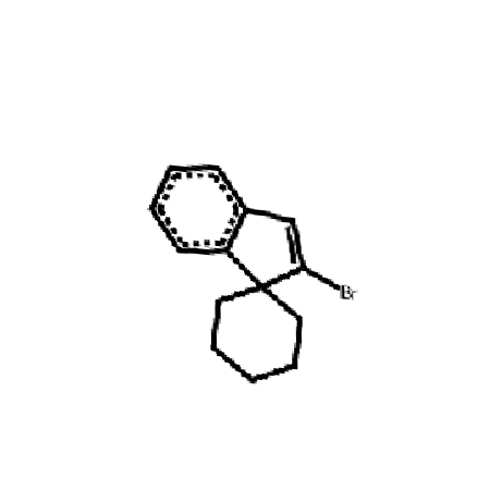 BrC1=Cc2ccccc2C12CCCCC2